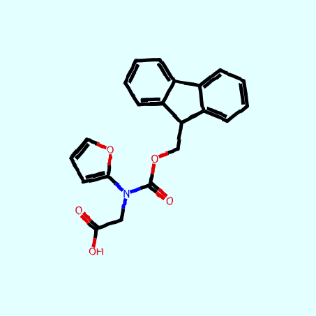 O=C(O)CN(C(=O)OCC1c2ccccc2-c2ccccc21)c1ccco1